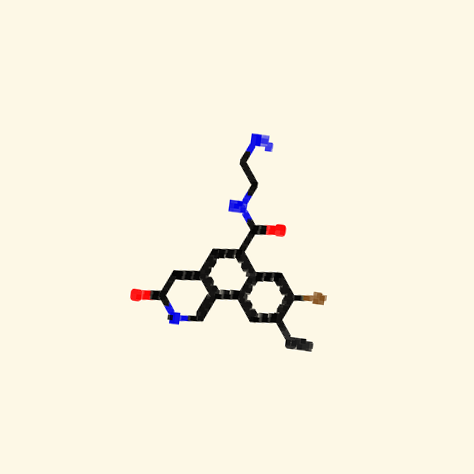 COc1cc2c3c(cc(C(=O)NCCN)c2cc1Br)=CC(=O)[N]C=3